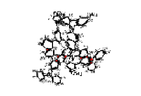 CC(C)(C)c1cc(-c2ccccc2)c(N2c3cc(-n4c5ccccc5c5ccccc54)ccc3B3c4ccc(-n5c6ccc(C(C)(C)C)cc6c6cc(C(C)(C)C)ccc65)cc4N(c4cc(-c5ccccc5)cc(-c5ccccc5)c4)c4cc(-n5c6ccccc6c6cc(N(c7ccccc7)c7ccccc7)ccc65)cc2c43)c(-c2ccccc2)c1